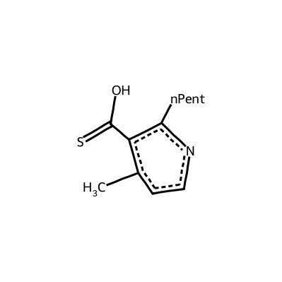 CCCCCc1nccc(C)c1C(O)=S